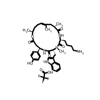 C/C1=C\CC[C@H](C)OC(=O)C[C@H](c2ccc(O)cc2)NC(=O)[C@@H](Cc2c[nH]c3ccccc23)N(C)C(=O)[C@H](CCCCN)NC(=O)[C@@H](C)C1.O=C(O)C(F)(F)F